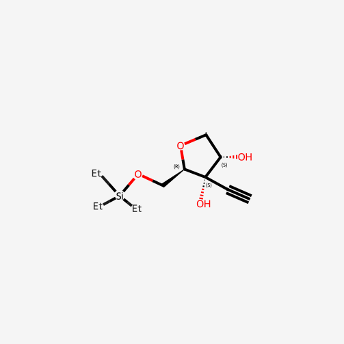 C#C[C@]1(O)[C@@H](O)[CH]O[C@@H]1CO[Si](CC)(CC)CC